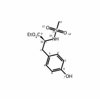 CCOC(=O)[C@H](Cc1ccc(O)cc1)NS(C)(=O)=O